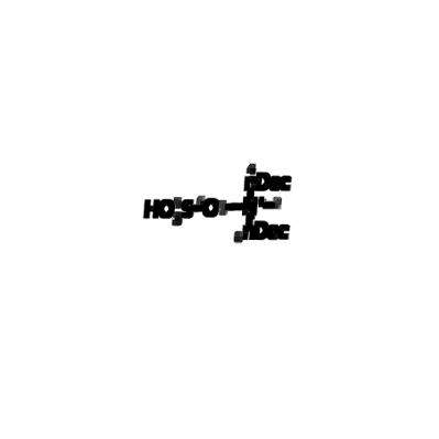 CCCCCCCCCC[N+](C)(C)CCCCCCCCCC.O=S(=O)([O-])O